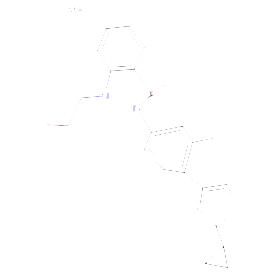 COc1ccc(C(=O)Nc2ccc(-c3csc(C4CC4)n3)c(Cl)c2)c(NCCO)c1